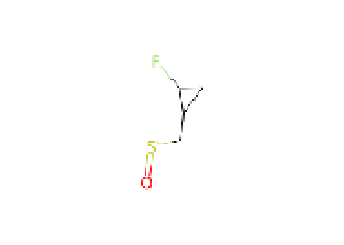 O=[S+]CC1CC1F